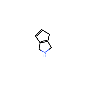 C1=CC2=C(C1)CNC2